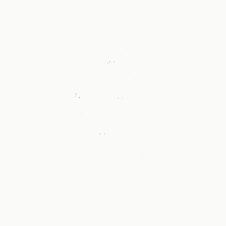 C=C(C)C(=O)OCCCCCCCC.C=C(C)C(=O)OCCN(C)C